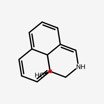 OC1CNC=C2C=CC=C3C=CC=CC321